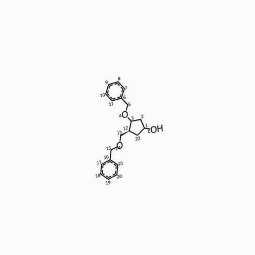 OC1CC(OCc2ccccc2)[C@H](COCc2ccccc2)C1